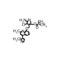 Cc1cc(-c2ccnn2C)c2cccc(OCc3c(COC(=O)N(C)C)cnc(N)c3Cl)c2n1